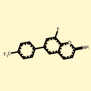 N=c1ccc2cc(-c3ccc(C(F)(F)F)cc3)cc(F)c2o1